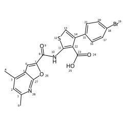 Cc1cc(C)c2cc(C(=O)Nc3scc(-c4ccc(Br)cc4)c3C(=O)O)oc2n1